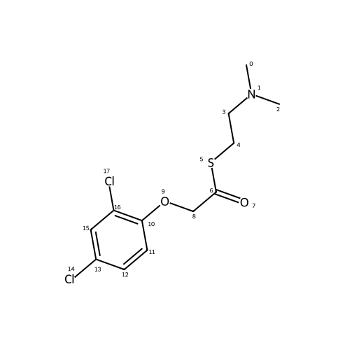 CN(C)CCSC(=O)COc1ccc(Cl)cc1Cl